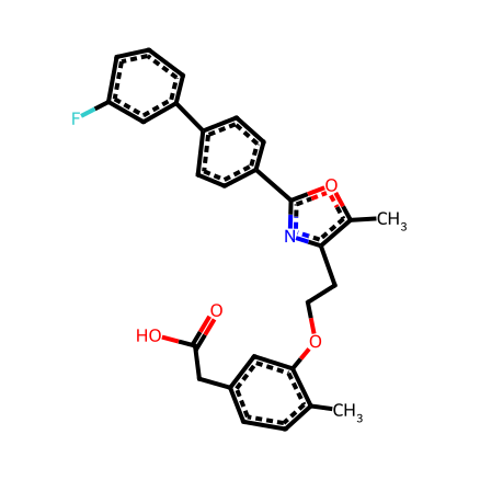 Cc1ccc(CC(=O)O)cc1OCCc1nc(-c2ccc(-c3cccc(F)c3)cc2)oc1C